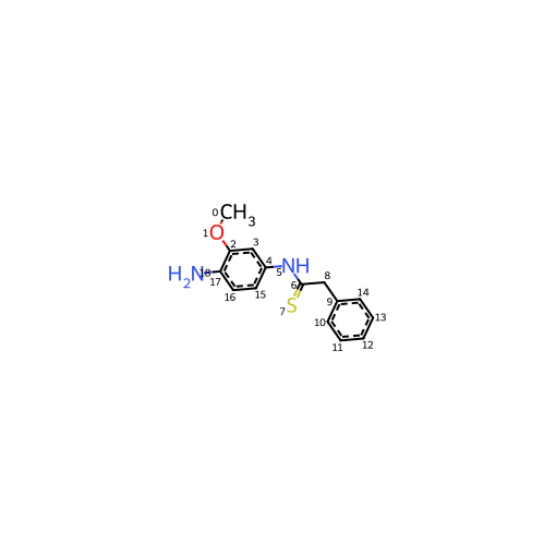 COc1cc(NC(=S)Cc2ccccc2)ccc1N